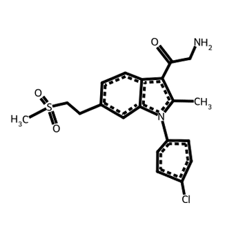 Cc1c(C(=O)CN)c2ccc(CCS(C)(=O)=O)cc2n1-c1ccc(Cl)cc1